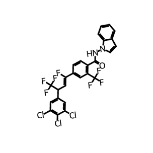 O=C(Nn1ccc2ccccc21)c1ccc(/C(F)=C/C(c2cc(Cl)c(Cl)c(Cl)c2)C(F)(F)F)cc1C(F)(F)F